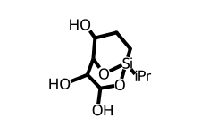 CC(C)[Si]12CCC(O)C(O1)C(O)C(O)O2